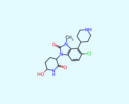 Cn1c(=O)n(C2CCC(O)NC2=O)c2ccc(Cl)c(C3CCNCC3)c21